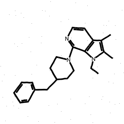 CCn1c(C)c(C)c2ccnc(N3CCC(Cc4ccccc4)CC3)c21